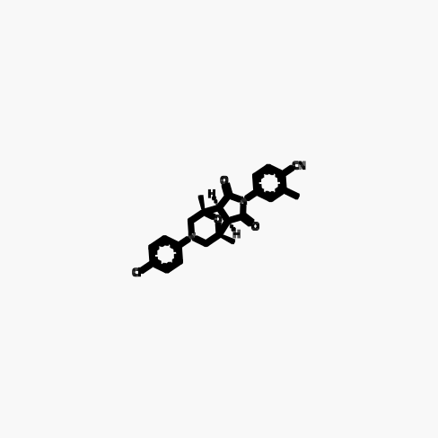 Cc1cc(N2C(=O)[C@@H]3[C@H](C2=O)[C@@]2(C)CN(c4ccc(Cl)cc4)C[C@]3(C)O2)ccc1C#N